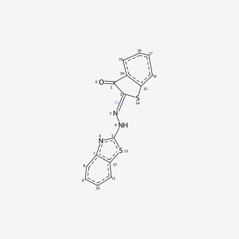 O=C1/C(=N/Nc2nc3ccccc3s2)Sc2ccccc21